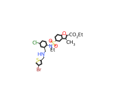 CCOC(=O)c1oc2ccc(S(=O)(=O)N(CC)c3ccc(Cl)cc3CNCc3cc(Br)cs3)cc2c1C